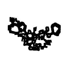 COC1O[C@@H]2[C@H](O1)[C@@](F)(COP(=O)(N[C@H](C)C(=O)O)Oc1ccccc1)O[C@@]2(C#N)c1ccc2c(N)ncnn12